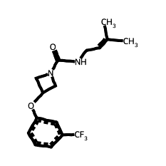 CC(C)=CCNC(=O)N1CC(Oc2cccc(C(F)(F)F)c2)C1